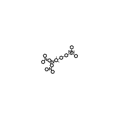 Cc1cc(-n2c3ccc(N(c4ccccc4)c4ccccc4)cc3c3cc(N(c4ccccc4)c4ccccc4)ccc32)cc(C)c1-c1ccc(-c2ccc(-c3cc(-c4ccccc4)nc(-c4ccccc4)n3)cc2)cc1